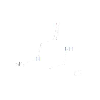 CCCN1CC(=O)NC(C)C1